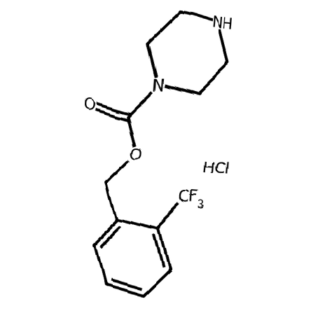 Cl.O=C(OCc1ccccc1C(F)(F)F)N1CCNCC1